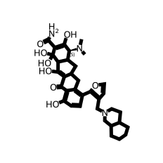 CN(C)[C@@H]1C(O)=C(C(N)=O)C(O)(O)C2C(O)=C3C(=O)c4c(O)ccc(-c5occc5CN5CCC6CCCCC6C5)c4CC3CC21